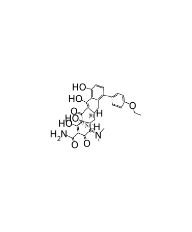 CCOc1ccc(-c2ccc(O)c3c2C[C@H]2C[C@H]4[C@H](N(C)C)C(=O)C(C(N)=O)=C(O)[C@@]4(O)C(=O)C2=C3O)cc1